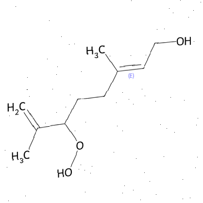 C=C(C)C(CC/C(C)=C/CO)OO